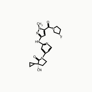 Cn1nc(Nc2cc(N3CC[C@@](C#N)(C4CC4)C3=O)ccn2)cc1C(=O)N1CC[C@H](F)C1